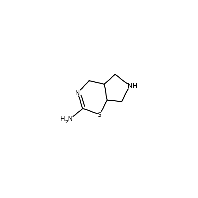 NC1=NCC2CNCC2S1